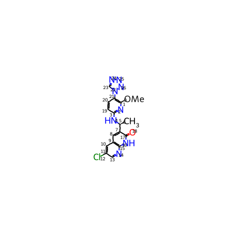 COc1nc(N[C@@H](C)c2cc3cc(Cl)cnc3[nH]c2=O)ccc1-n1cnnn1